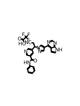 N#CCC(c1cncc(C(=O)Nc2ccccc2)c1)n1cc(-c2ncnc3[nH]ccc23)cn1.O=C(O)C(F)(F)F